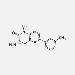 Cc1cccc(-c2ccc3c(c2)C[C@H](N)C(=O)N3O)c1